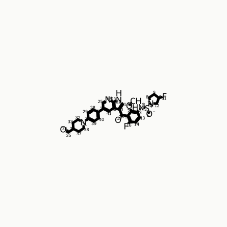 COc1c(N[S+]([O-])N2CCC(F)C2)ccc(F)c1C(=O)c1c[nH]c2ncc(-c3ccc(N4CCC(C=O)CC4)cc3)cc12